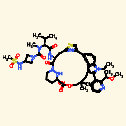 CCn1c(-c2cccnc2[C@H](C)OC)c2c3cc(ccc31)-c1csc(n1)C[C@H](NC(=O)[C@H](C(C)C)N(C)C(=O)N1CC(NS(C)(=O)=O)C1)C(=O)N1CCC[C@@](O)(N1)C(=O)OCC(C)(C)C2